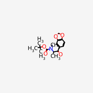 CC(C(=O)c1ccc2c(c1)OCO2)N(C)C(=O)OC(C)(C)C